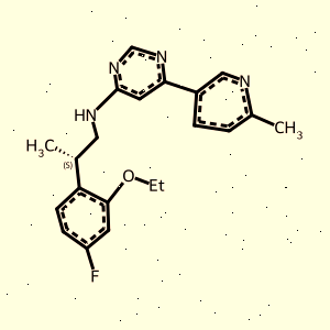 CCOc1cc(F)ccc1[C@H](C)CNc1cc(-c2ccc(C)nc2)ncn1